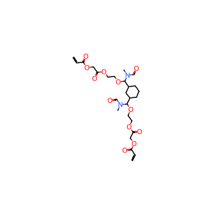 C=CC(=O)OCC(=O)OCCOC(C1CCCC(C(OCCOC(=O)COC(=O)C=C)N(C)C=O)C1)N(C)C=O